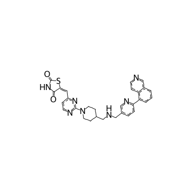 O=C1NC(=O)/C(=C\c2ccnc(N3CCC(CNCc4ccc(-c5cccc6cnccc56)nc4)CC3)n2)S1